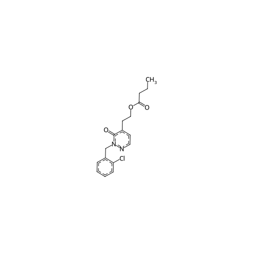 CCCC(=O)OCCc1ccnn(Cc2ccccc2Cl)c1=O